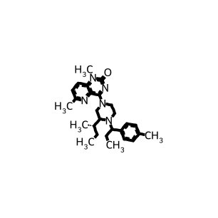 CCC(c1ccc(C)cc1)N1CCN(c2nc(=O)n(C)c3ccc(C)nc23)CC1[C@@H](C)CC